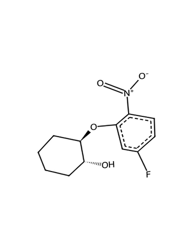 O=[N+]([O-])c1ccc(F)cc1O[C@@H]1CCCC[C@H]1O